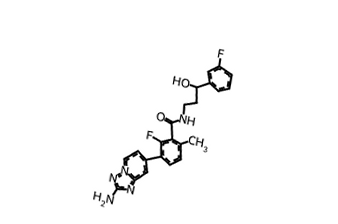 Cc1ccc(-c2ccn3nc(N)nc3c2)c(F)c1C(=O)NCCC(O)c1cccc(F)c1